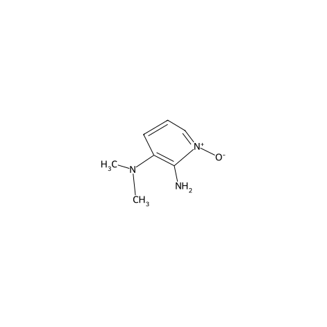 CN(C)c1ccc[n+]([O-])c1N